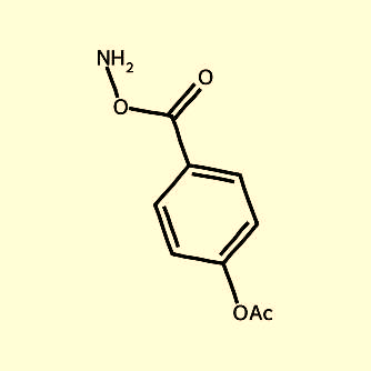 CC(=O)Oc1ccc(C(=O)ON)cc1